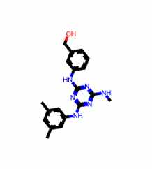 CNc1nc(Nc2cc(C)cc(C)c2)nc(Nc2cccc(CO)c2)n1